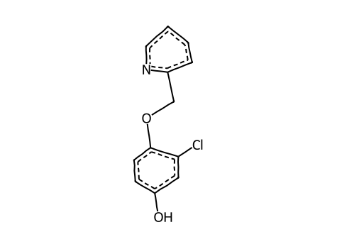 Oc1ccc(OCc2ccccn2)c(Cl)c1